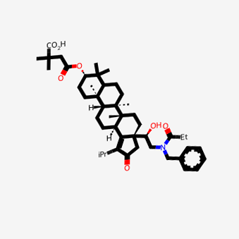 CCC(=O)N(Cc1ccccc1)C[C@H](O)[C@@]12CC[C@]3(C)[C@H](CC[C@@H]4[C@@]5(C)CC[C@H](OC(=O)CC(C)(C)C(=O)O)C(C)(C)C5CC[C@]43C)C1=C(C(C)C)C(=O)C2